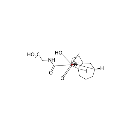 O=C(O)CNC(=O)C1=C(O)OC2(OC1=O)C1CC3C[C@@H]2CCC[C@H]3C1